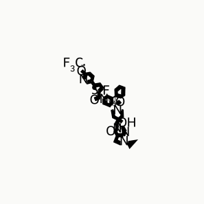 O=C(c1sc(-c2ccc(OCC(F)(F)F)nc2)cc1F)N1CC[C@@H](C(=O)N2CCC(O)(Cn3cnc4c(ccn4C4CC4)c3=O)CC2)[C@H](c2ccccc2)C1